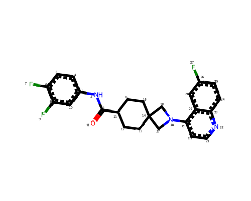 O=C(Nc1ccc(F)c(F)c1)C1CCC2(CC1)CN(c1ccnc3ccc(F)cc13)C2